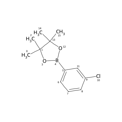 CC1(C)OB(c2cccc(Cl)c2)OC1(C)C